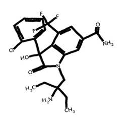 CCC(N)(CC)CN1C(=O)C(O)(c2ccccc2Cl)c2c1cc(C(N)=O)cc2C(F)(F)F